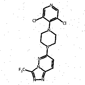 FC(F)(F)c1nnc2ccc(N3CCN(c4c(Cl)cncc4Cl)CC3)nn12